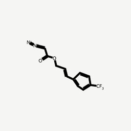 [N-]=[N+]=CC(=O)OCC=Cc1ccc(C(F)(F)F)cc1